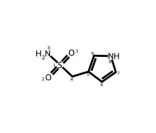 NS(=O)(=O)Cc1cc[nH]c1